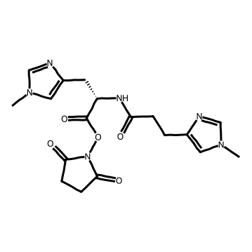 Cn1cnc(CCC(=O)N[C@@H](Cc2cn(C)cn2)C(=O)ON2C(=O)CCC2=O)c1